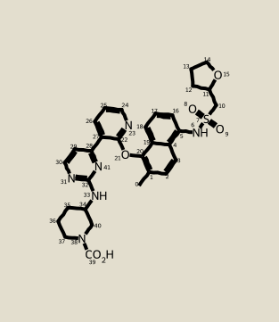 Cc1ccc2c(NS(=O)(=O)CC3CCCO3)cccc2c1Oc1ncccc1-c1ccnc(NC2CCCN(C(=O)O)C2)n1